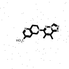 Cc1c(N2CCc3ncc(C(=O)O)cc3C2)nn2cnnc2c1C